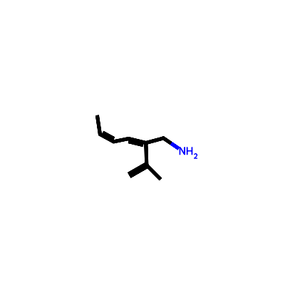 C=C(C)/C(=C\C=C/C)CN